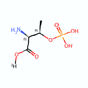 [2H]OC(=O)[C@@H](N)[C@@H](C)OP(=O)(O)O